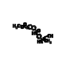 C#CCN(C)C(=N)c1ccc(NC(=O)c2ccc3c(c2)CN(CC(=O)OCC)CC3)cc1